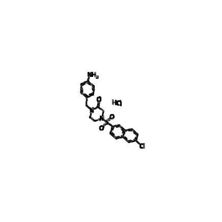 Cl.Nc1ccc(CN2CCN(S(=O)(=O)c3ccc4cc(Cl)ccc4c3)CC2=O)cc1